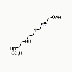 COC/C=C/CNCCNCCNC(=O)O